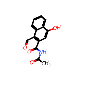 CC(=O)NC(=O)c1cc(O)c2ccccc2c1C=O